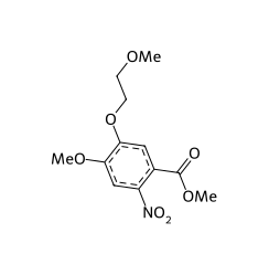 COCCOc1cc(C(=O)OC)c([N+](=O)[O-])cc1OC